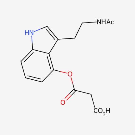 CC(=O)NCCc1c[nH]c2cccc(OC(=O)CC(=O)O)c12